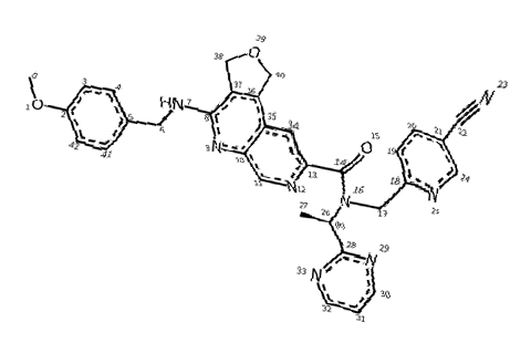 COc1ccc(CNc2nc3cnc(C(=O)N(Cc4ccc(C#N)cn4)[C@H](C)c4ncccn4)cc3c3c2COC3)cc1